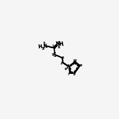 N=C(N)SCCn1cccc1